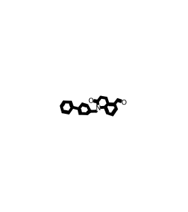 O=Cc1cccc2c1CCC(=O)N2Cc1ccc(-c2ccccc2)cc1